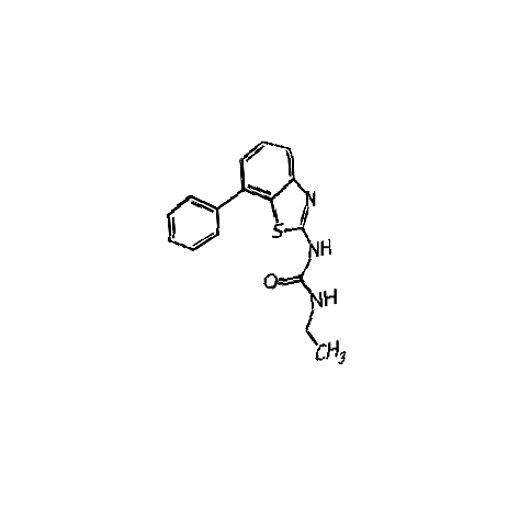 CCNC(=O)Nc1nc2cccc(-c3ccccc3)c2s1